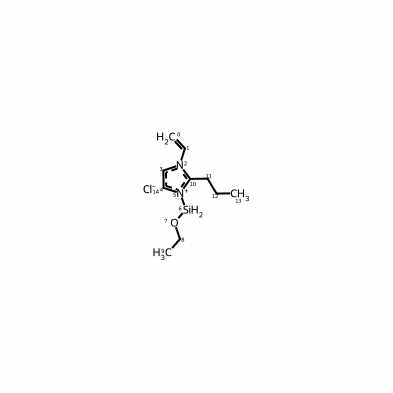 C=Cn1cc[n+]([SiH2]OCC)c1CCC.[Cl-]